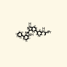 C=C(Nc1cncc(-c2ccc3[nH]nc(-c4nc5c(-c6cccnc6)nccc5[nH]4)c3n2)c1)C(C)C